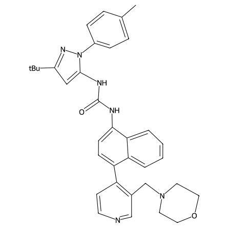 Cc1ccc(-n2nc(C(C)(C)C)cc2NC(=O)Nc2ccc(-c3ccncc3CN3CCOCC3)c3ccccc23)cc1